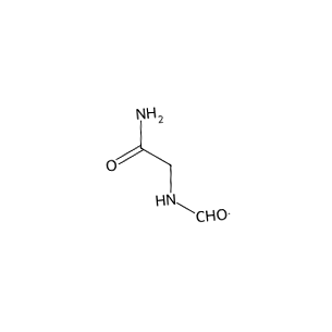 NC(=O)CN[C]=O